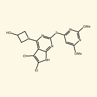 CCc1[nH]c2nc(Sc3cc(OC)nc(OC)n3)nc(N3CC(O)C3)c2c1Cl